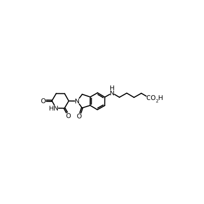 O=C(O)CCCCNc1ccc2c(c1)CN(C1CCC(=O)NC1=O)C2=O